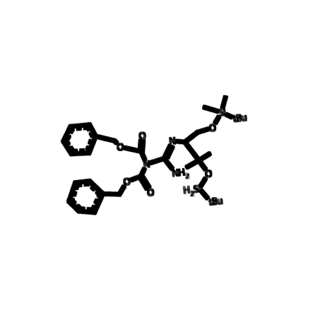 CC(C)(C)[SiH2]OC(C)(C)C(CO[Si](C)(C)C(C)(C)C)N=C(N)N(C(=O)OCc1ccccc1)C(=O)OCc1ccccc1